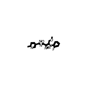 COCc1c(-c2nc(-c3ccc(C)nc3)no2)nnn1-c1ccccc1F